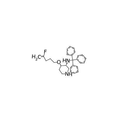 C=C(F)CCCO[C@@H]1CCNC[C@@H]1NC(c1ccccc1)(c1ccccc1)c1ccccc1